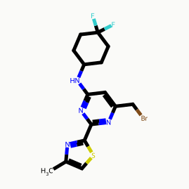 Cc1csc(-c2nc(CBr)cc(NC3CCC(F)(F)CC3)n2)n1